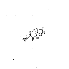 N#CC1CCC2(CC=NO2)CC1